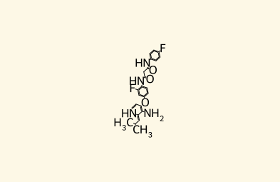 CC(C)C=C1NC=CC(Oc2ccc(NC(=O)CC(=O)Nc3ccc(F)cc3)c(F)c2)=C1N